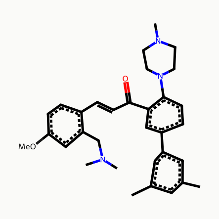 COc1ccc(/C=C/C(=O)c2cc(-c3cc(C)cc(C)c3)ccc2N2CCN(C)CC2)c(CN(C)C)c1